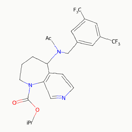 CC(=O)N(Cc1cc(C(F)(F)F)cc(C(F)(F)F)c1)C1CCCN(C(=O)OC(C)C)c2cnccc21